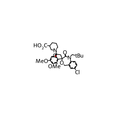 COc1ccc(C2(CC(=O)N3CCCC(C(=O)O)C3)OCc3cc(Cl)ccc3N(CC(C)(C)C)C2=O)c(OC)c1